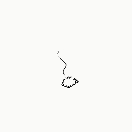 CC(C)(C)NCCn1cccn1